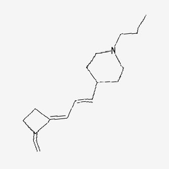 C=C1CC/C1=C\C=C\C1CCN(CCC)CC1